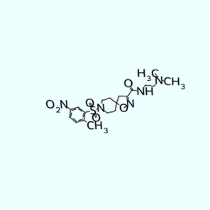 Cc1ccc([N+](=O)[O-])cc1S(=O)(=O)N1CCC2(CC1)CC(C(=O)NCCN(C)C)=NO2